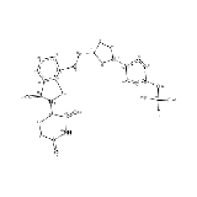 O=C1CCC(N2Cc3c(OC[C@@H]4CCN(c5ccc(OC(F)(F)F)cc5)C4)cccc3C2=O)C(=O)N1